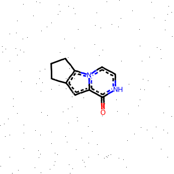 O=c1[nH]ccn2c3c(cc12)CCC3